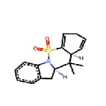 CC1(C)[C@@H]2C=CCC=C2S(=O)(=O)N2c3ccccc3C[C@@H]21